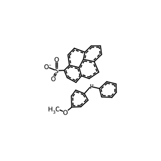 COc1ccc([I+]c2ccccc2)cc1.O=S(=O)([O-])c1ccc2ccc3cccc4ccc1c2c34